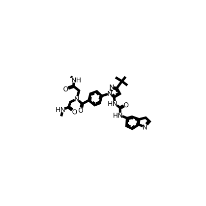 CNC(=O)CN(CC(=O)NC)C(=O)c1ccc(-n2nc(C(C)(C)C)cc2NC(=O)Nc2ccc3c(c2)CC=N3)cc1